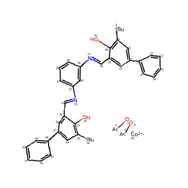 CC(=O)[O-].CC(=O)[O-].CC(C)(C)c1cc(-c2ccccc2)cc(C=Nc2cccc(N=Cc3cc(-c4ccccc4)cc(C(C)(C)C)c3O)c2)c1O.[Co+2]